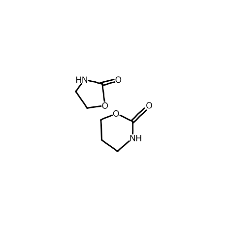 O=C1NCCCO1.O=C1NCCO1